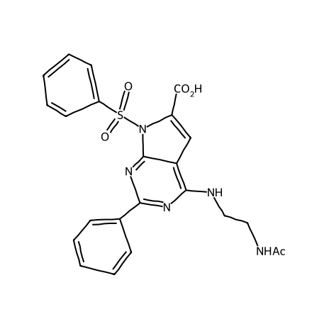 CC(=O)NCCNc1nc(-c2ccccc2)nc2c1cc(C(=O)O)n2S(=O)(=O)c1ccccc1